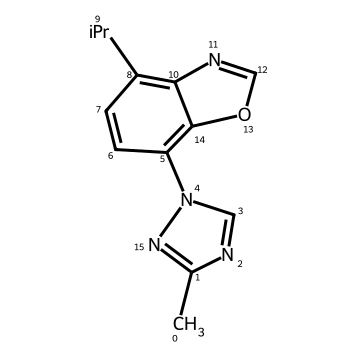 Cc1ncn(-c2ccc(C(C)C)c3ncoc23)n1